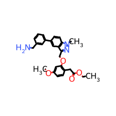 CCOC(=O)Cc1ccc(OC)cc1OCc1nn(C)c2ccc(-c3cccc(CN)c3)cc12